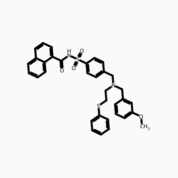 COc1cccc(CN(CCSc2ccccc2)Cc2ccc(S(=O)(=O)NC(=O)c3cccc4ccccc34)cc2)c1